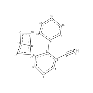 C#Cc1ccccc1-c1ccccc1.c1cc2ccc1-2